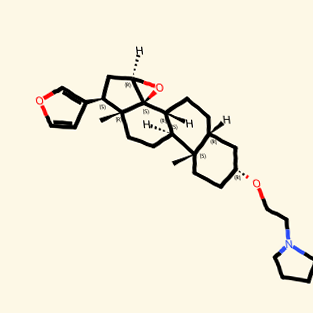 C[C@]12CC[C@@H](OCCN3CCCC3)C[C@H]1CC[C@@H]1[C@@H]2CC[C@]2(C)[C@@H](c3ccoc3)C[C@H]3O[C@]132